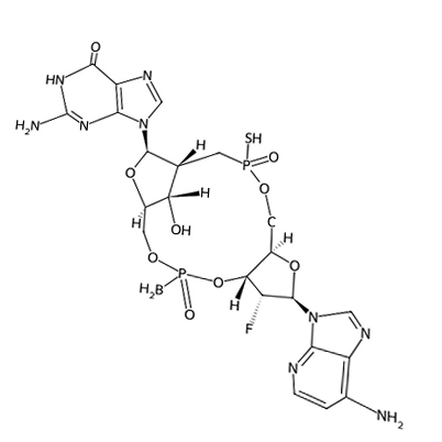 BP1(=O)OC[C@H]2O[C@@H](n3cnc4c(=O)[nH]c(N)nc43)[C@H](CP(=O)(S)OC[C@H]3O[C@@H](n4cnc5c(N)ccnc54)[C@H](F)[C@@H]3O1)[C@@H]2O